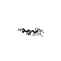 CC(C)(C)C(=O)Cn1cc(C2CNC2)nn1